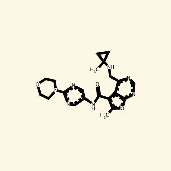 Cc1oc2ncnc(CNC3(C)CC3)c2c1C(=O)Nc1cnc(N2CCOCC2)nc1